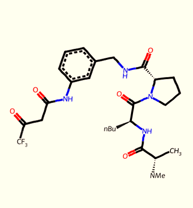 CCCC[C@H](NC(=O)[C@H](C)NC)C(=O)N1CCC[C@H]1C(=O)NCc1cccc(NC(=O)CC(=O)C(F)(F)F)c1